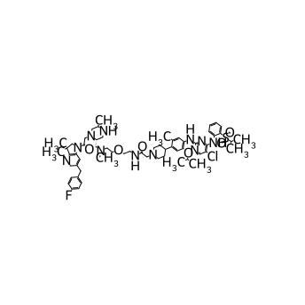 Cc1cc(Nc2ncc(Cl)c(Nc3ccccc3S(=O)(=O)C(C)C)n2)c(OC(C)C)cc1C1CCN(CC(=O)NCCOCCN(C)C[C@H]2CN[C@H](C)CN2CC(=O)N2CC(C)(C)c3ncc(Cc4ccc(F)cc4)cc32)CC1